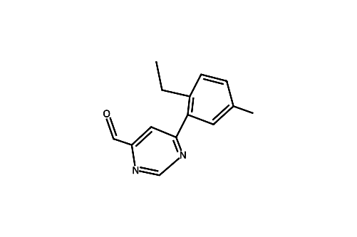 CCc1ccc(C)cc1-c1cc(C=O)ncn1